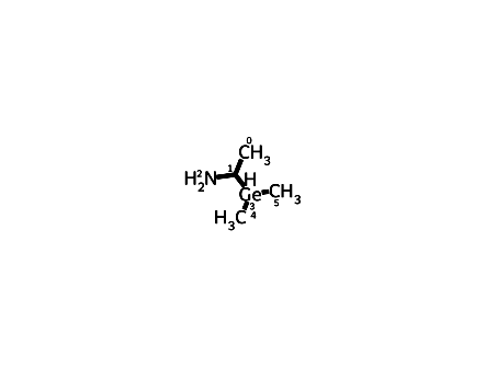 C[CH](N)[GeH]([CH3])[CH3]